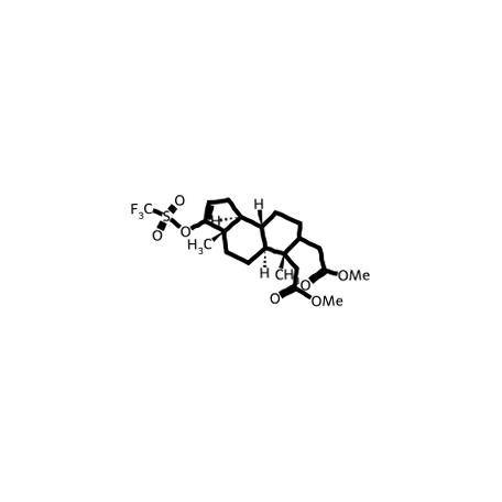 COC(=O)CC1CC[C@@H]2[C@H](CC[C@]3(C)C(OS(=O)(=O)C(F)(F)F)=CC[C@@H]23)[C@@]1(C)CC(=O)OC